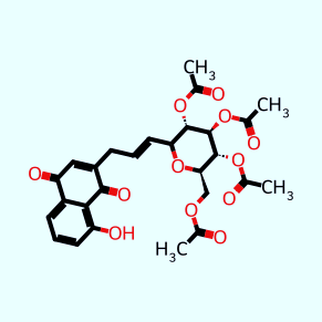 CC(=O)OC[C@H]1OC(/C=C/CC2=CC(=O)c3cccc(O)c3C2=O)[C@H](OC(C)=O)[C@@H](OC(C)=O)[C@@H]1OC(C)=O